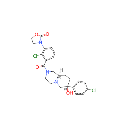 O=C(c1cccc(N2CCOC2=O)c1Cl)N1CCN2C[C@@](O)(c3ccc(Cl)cc3)CC[C@@H]2C1